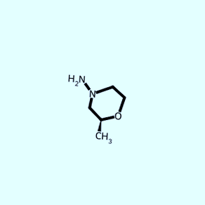 C[C@H]1CN(N)CCO1